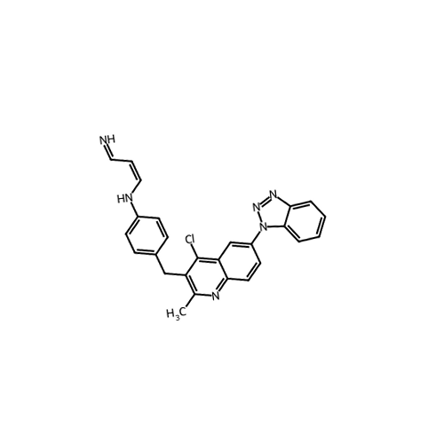 Cc1nc2ccc(-n3nnc4ccccc43)cc2c(Cl)c1Cc1ccc(N/C=C\C=N)cc1